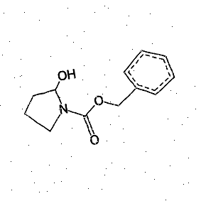 O=C(OCc1ccccc1)N1CCCC1O